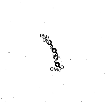 COC(=O)c1ccc(CN2C[C@@H](C)N(Cc3ccc(OCC4CCN(C(=O)OC(C)(C)C)CC4)cc3)[C@@H](C)C2)cc1